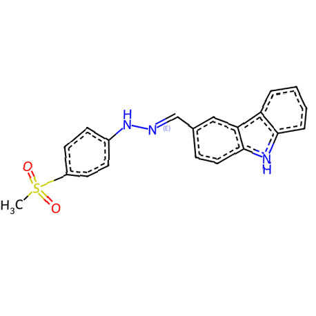 CS(=O)(=O)c1ccc(N/N=C/c2ccc3[nH]c4ccccc4c3c2)cc1